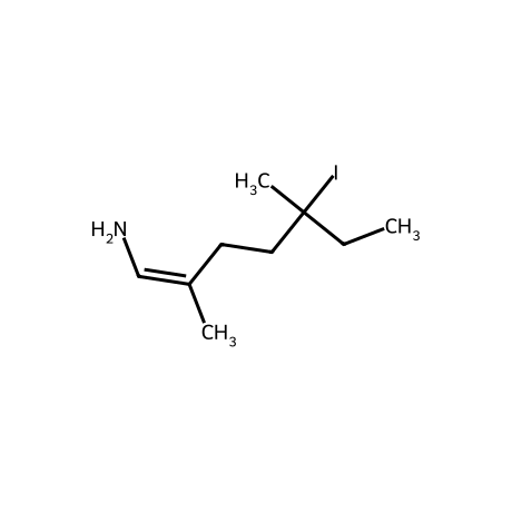 CCC(C)(I)CC/C(C)=C\N